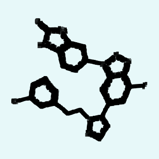 O=c1[nH]c2ccc(-n3nnc4c(F)cc(-c5ccnn5CCc5cccc(Cl)c5)cc43)cc2[nH]1